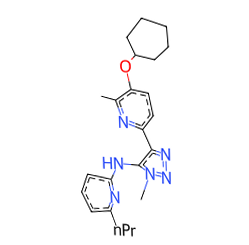 CCCc1cccc(Nc2c(-c3ccc(OC4CCCCC4)c(C)n3)nnn2C)n1